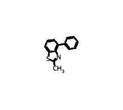 Cc1nc2c(-c3ccccc3)cccc2s1